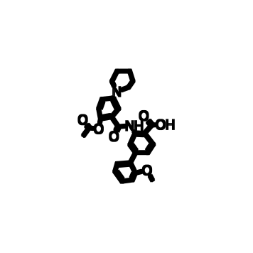 COc1ccccc1-c1ccc(C(=O)O)c(NC(=O)c2cc(N3CCCCC3)ccc2OC(C)=O)c1